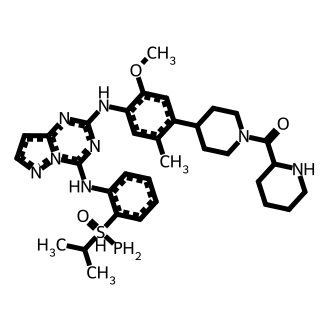 COc1cc(C2CCN(C(=O)C3CCCCN3)CC2)c(C)cc1Nc1nc(Nc2ccccc2[SH](=O)(P)C(C)C)n2nccc2n1